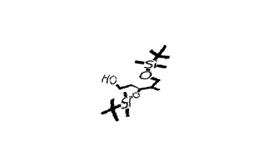 CC(CO[Si](C)(C)C(C)(C)C)[C@H](CCO)O[Si](C)(C)C(C)(C)C